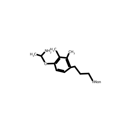 CCCCCCCCCCCCc1ccc(OC(C)N)c(C)c1C